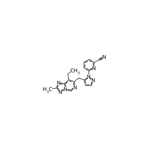 CCc1c(Cc2ccnn2-c2cccc(C#N)n2)ncn2nc(C)nc12